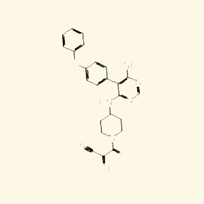 C=C(C#N)C(=O)N1CCC(Nc2ncnc(N)c2-c2ccc(Oc3ccccc3)cc2)CC1